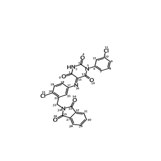 O=C1NC(=O)N(c2cccc(Cl)c2)C(=O)C1=Nc1ccc(Cl)c(CN2C(=O)c3ccccc3C2=O)c1